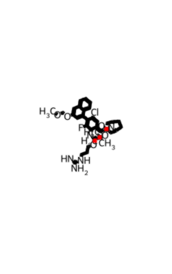 COCOc1cc(-c2c(Cl)cc3c(N4CC5CCC(C4)N5C(=O)OC(C)(C)C)nc(OCCCNC(=N)N)nc3c2F)c2ccccc2c1